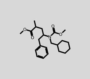 COC(=O)C(C)CC(Cc1ccccc1)N(CC1CCCCC1)C(=O)OC